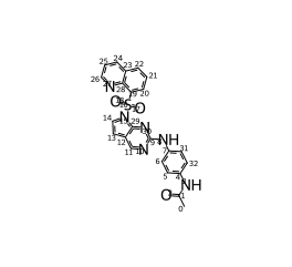 CC(=O)Nc1ccc(Nc2ncc3ccn(S(=O)(=O)c4cccc5cccnc45)c3n2)cc1